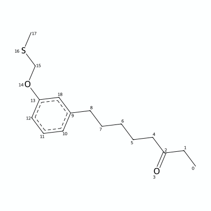 CCC(=O)CCCCCc1cccc(OCSC)c1